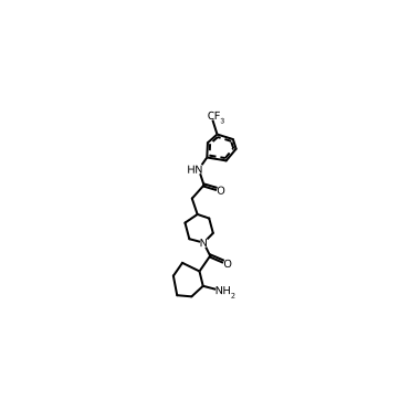 NC1CCCCC1C(=O)N1CCC(CC(=O)Nc2cccc(C(F)(F)F)c2)CC1